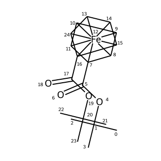 CC(C)(C)OC(=O)[C]12[CH]3[CH]4[CH]5[CH]1[Fe]45321678[CH]2[CH]1[CH]6[C]7(C(=O)OC(C)(C)C)[CH]28